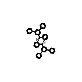 c1ccc(-c2cc(/C3=N/c4ccccc4/C(c4cc(-c5ccccc5)cc(-c5ccccc5)c4)=N\c4ccccc43)cc(-c3ccccc3)c2)cc1